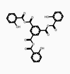 O=C(OC(=O)c1ccccc1O)c1cc(C(=O)OC(=O)c2ccccc2O)cc(C(=O)OC(=O)c2ccccc2O)c1